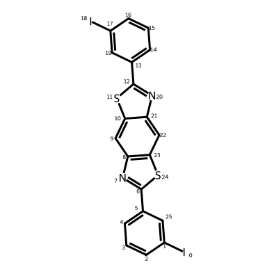 Ic1cccc(-c2nc3cc4sc(-c5cccc(I)c5)nc4cc3s2)c1